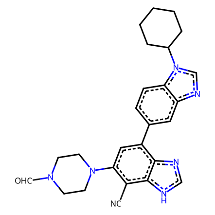 N#Cc1c(N2CCN(C=O)CC2)cc(-c2ccc3c(c2)ncn3C2CCCCC2)c2nc[nH]c12